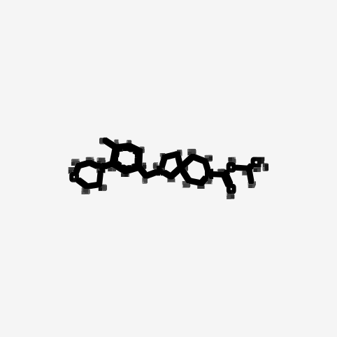 Cc1ccc(CN2CCC3(CCN(C(=O)OC(C)C(F)(F)F)CC3)C2)cc1N1CCOCC1